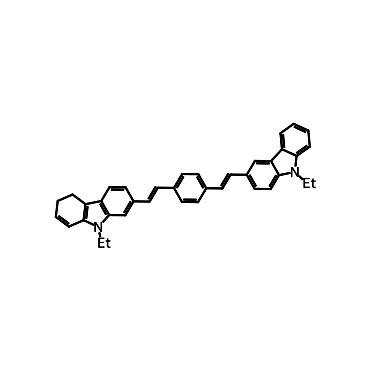 CCn1c2c(c3ccc(/C=C/c4ccc(/C=C/c5ccc6c(c5)c5ccccc5n6CC)cc4)cc31)CCC=C2